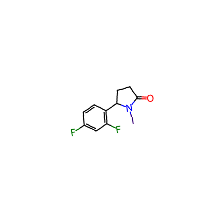 O=C1CCC(c2ccc(F)cc2F)N1I